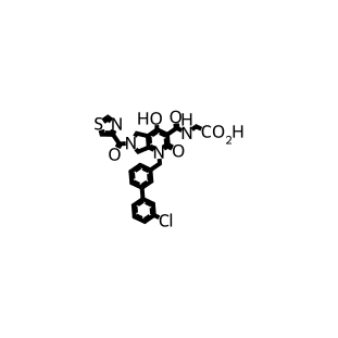 O=C(O)CNC(=O)c1c(O)c2c(n(Cc3cccc(-c4cccc(Cl)c4)c3)c1=O)CN(C(=O)c1cscn1)C2